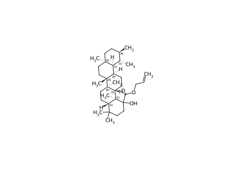 C=CCOC(=O)C1(O)CCC(C)(C)[C@@H]2CC[C@]3(C)[C@H](CC[C@@H]4[C@@H]5[C@@H](C)[C@H](C)CC[C@]5(C)CC[C@]43C)[C@]21C